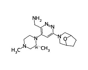 C[C@@H]1CN(C)CCN1c1cc(N2CC3CCC(C2)O3)nnc1CN